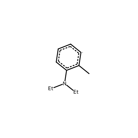 CCN(CC)c1ccc[c]c1C